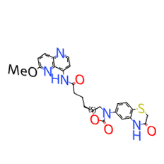 COc1ccc2nccc(NC(=O)CCC[C@H]3CN(c4ccc5c(c4)NC(=O)CS5)C(=O)O3)c2n1